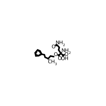 CC(CCOC(=O)[C@](N)(CCC(N)=O)C(=O)O)CCc1ccccc1